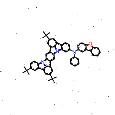 CC(C)(C)c1ccc2c(c1)c1cc(C(C)(C)C)cc3c4cc5c(cc4n2c13)c1cc(C(C)(C)C)cc2c3ccc(N(c4ccccc4)c4ccc6oc7ccccc7c6c4)cc3n5c21